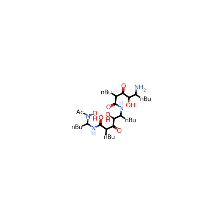 CCCCC(C(=O)NC(CCCC)C(O)C(=O)C(CCCC)C(=O)NC(CCCC)N(O)C(C)=O)C(=O)C(O)C(N)CCCC